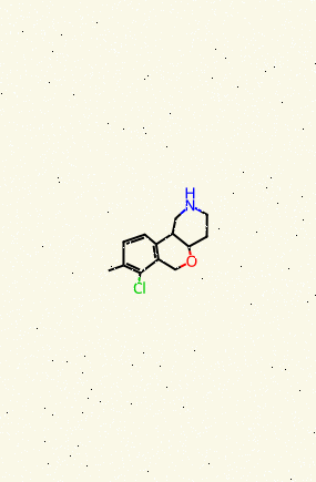 Cc1ccc2c(c1Cl)COC1CCNCC21